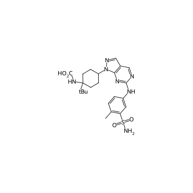 Cc1ccc(Nc2ncc3cnn(C4CCC(NC(=O)O)(C(C)(C)C)CC4)c3n2)cc1S(N)(=O)=O